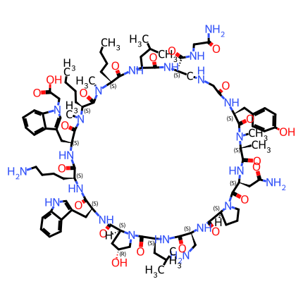 CCCC[C@H]1C(=O)N(C)[C@@H](CCCC)C(=O)NC(CC(C)C)C(=O)N[C@H](C(=O)NCC(N)=O)CNCC(=O)N[C@@H](Cc2ccc(O)cc2)C(=O)N(C)[C@@H](C)C(=O)N[C@@H](CC(N)=O)C(=O)N2CCC[C@H]2C(=O)N[C@@H](CN)C(=O)N[C@@H](CC(C)C)C(=O)N2C[C@H](O)C[C@H]2C(=O)N[C@@H](Cc2c[nH]c3ccccc23)C(=O)N[C@@H](CCCCN)C(=O)N[C@@H](Cc2cn(CC(=O)O)c3ccccc23)C(=O)N1C